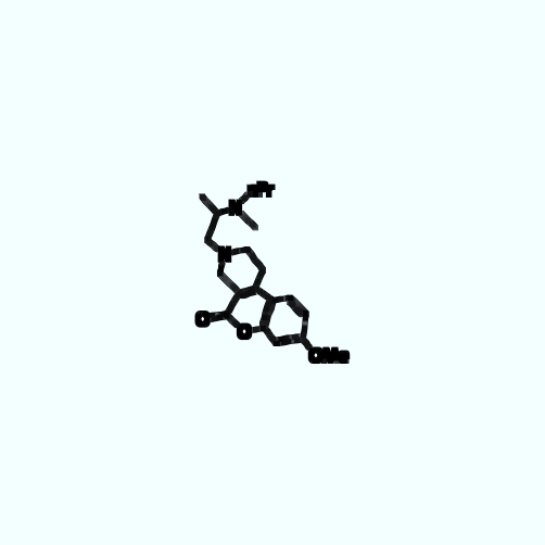 CCCN(C)C(C)CN1CCc2c(c(=O)oc3cc(OC)ccc23)C1